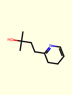 CC(C)(O)CCC1=NC=CCC1